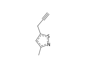 C#CCc1cc(C)ns1